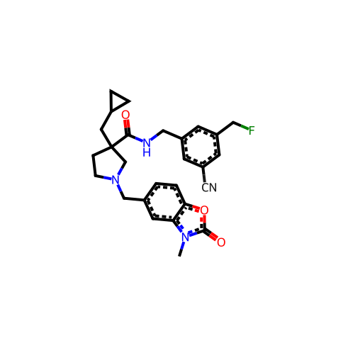 Cn1c(=O)oc2ccc(CN3CCC(CC4CC4)(C(=O)NCc4cc(C#N)cc(CF)c4)C3)cc21